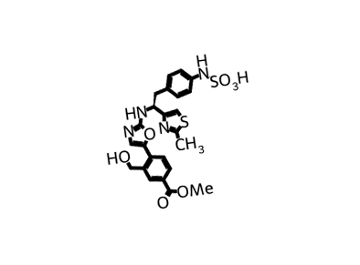 COC(=O)c1ccc(-c2cnc(N[C@@H](Cc3ccc(NS(=O)(=O)O)cc3)c3csc(C)n3)o2)c(CO)c1